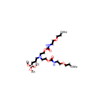 CCO[Si](CCCN(CCOC(=O)NCCOCCOC)CCOC(=O)NCCOCCOC)(OCC)OCC